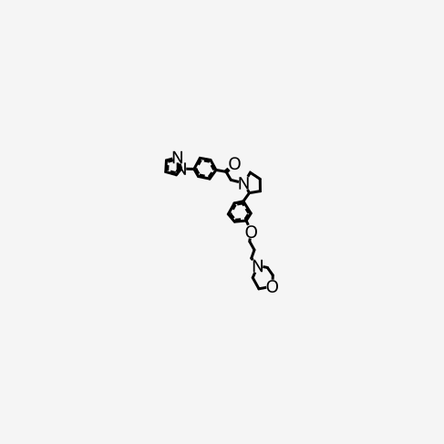 O=C(CN1CCCC1c1cccc(OCCCN2CCOCC2)c1)c1ccc(-n2cccn2)cc1